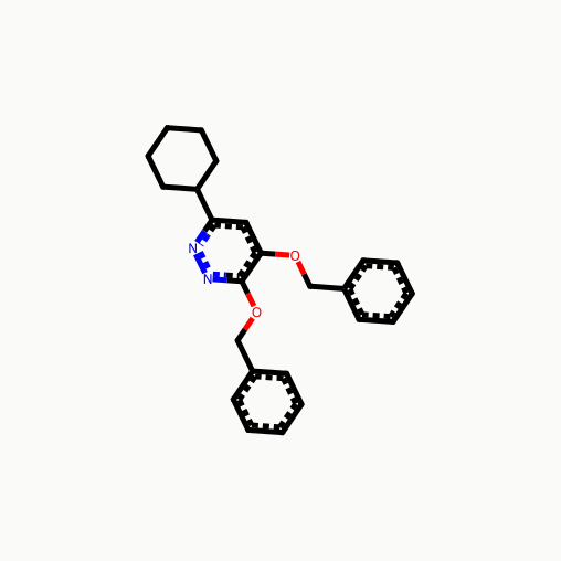 c1ccc(COc2cc(C3CCCCC3)nnc2OCc2ccccc2)cc1